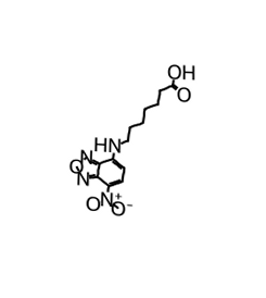 O=C(O)CCCCCCNc1ccc([N+](=O)[O-])c2nonc12